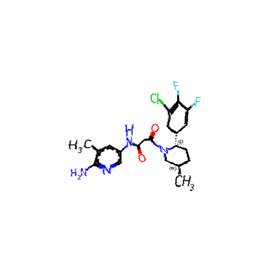 Cc1cc(NC(=O)C(=O)N2C[C@H](C)CC[C@H]2C2C=C(F)C(F)=C(Cl)C2)cnc1N